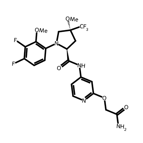 COc1c(N2C[C@@](OC)(C(F)(F)F)C[C@H]2C(=O)Nc2ccnc(OCC(N)=O)c2)ccc(F)c1F